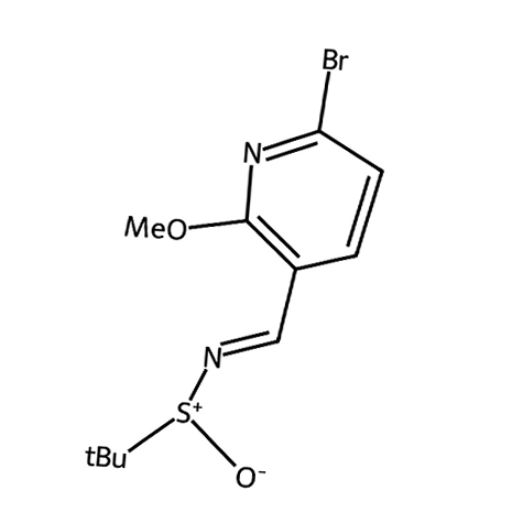 COc1nc(Br)ccc1/C=N/[S+]([O-])C(C)(C)C